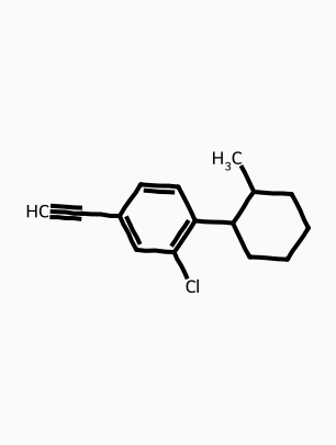 C#Cc1ccc(C2CCCCC2C)c(Cl)c1